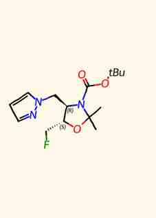 CC(C)(C)OC(=O)N1[C@H](Cn2cccn2)[C@@H](CF)OC1(C)C